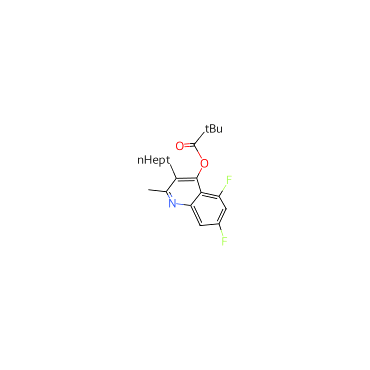 CCCCCCCc1c(C)nc2cc(F)cc(F)c2c1OC(=O)C(C)(C)C